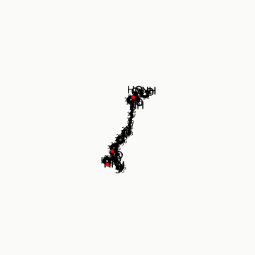 O=C1CCC(N2C(=O)c3cccc(NCCCCCCCCN4CCN(c5ccc(-c6ccc7c(c6)C(=O)N(C(C(=O)Nc6nccs6)c6ccccc6)C7)cc5)CC4)c3C2=O)C(O)N1